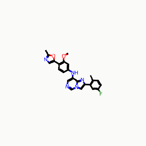 COc1cc(Nc2cncn3cc(-c4cc(F)ccc4C)nc23)ccc1-c1cnc(C)o1